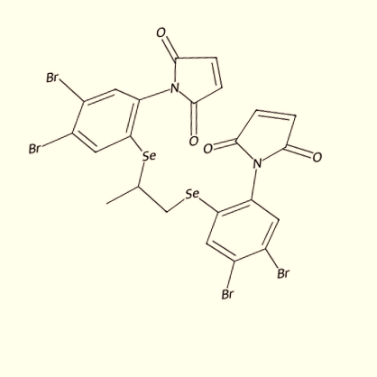 CC(C[Se]c1cc(Br)c(Br)cc1N1C(=O)C=CC1=O)[Se]c1cc(Br)c(Br)cc1N1C(=O)C=CC1=O